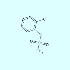 CS(=O)(=O)Oc1cc[c]cc1Cl